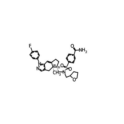 C[C@]12Cc3cnn(-c4ccc(F)cc4)c3C=C1CC[C@@H]2CN(CC1CCCO1)S(=O)(=O)c1ccc(C(N)=O)cc1